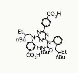 CCCCC(CC)Cc1ccccc1N(C(=O)NC(C)(C)C)c1nc(-c2ccc(C(=O)O)cc2)nc(N(CC(CC)CCCC)c2ccc(C(=O)O)cc2)n1